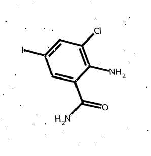 NC(=O)c1cc(I)cc(Cl)c1N